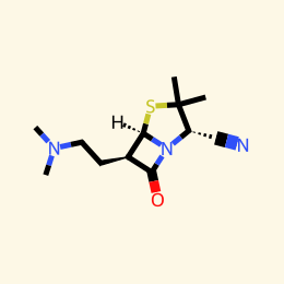 CN(C)CC[C@@H]1C(=O)N2[C@@H]1SC(C)(C)[C@@H]2C#N